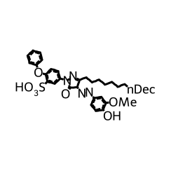 CCCCCCCCCCCCCCCCCC1=NN(c2ccc(Oc3ccccc3)c(S(=O)(=O)O)c2)C(=O)C1/N=N/c1ccc(O)c(OC)c1